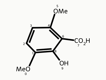 COc1ccc(OC)c(C(=O)O)c1O